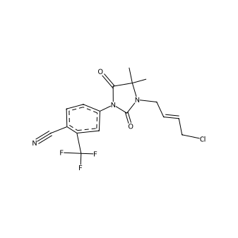 CC1(C)C(=O)N(c2ccc(C#N)c(C(F)(F)F)c2)C(=O)N1CC=CCCl